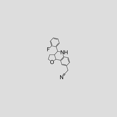 N#CCc1ccc2c(c1)C1OCCC1C(c1ccccc1F)N2